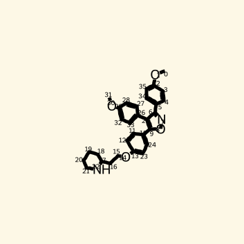 COc1ccc(-c2noc(-c3ccc(OCCC4CCCCN4)cc3)c2-c2ccc(OC)cc2)cc1